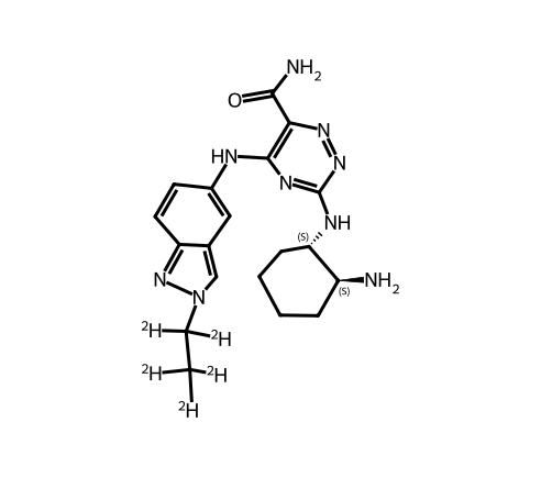 [2H]C([2H])([2H])C([2H])([2H])n1cc2cc(Nc3nc(N[C@H]4CCCC[C@@H]4N)nnc3C(N)=O)ccc2n1